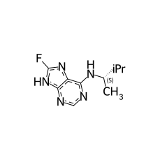 CC(C)[C@H](C)Nc1ncnc2[nH]c(F)nc12